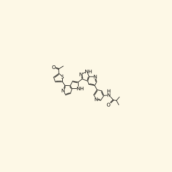 CC(=O)c1ccc(-c2nccc3[nH]c(-c4n[nH]c5ncc(-c6cncc(NC(=O)C(C)C)c6)cc45)cc23)s1